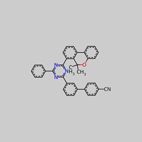 CC1(C)Oc2ccccc2-c2cccc(-c3nc(-c4ccccc4)nc(-c4cccc(-c5ccc(C#N)cc5)c4)n3)c21